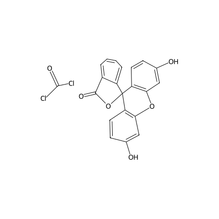 O=C(Cl)Cl.O=C1OC2(c3ccc(O)cc3Oc3cc(O)ccc32)c2ccccc21